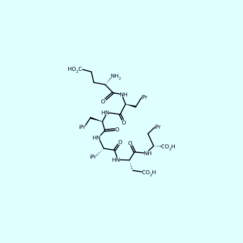 CC(C)C[C@H](NC(=O)[C@@H](N)CCC(=O)O)C(=O)N[C@H](CC(C)C)C(=O)N[C@H](C(=O)N[C@@H](CC(=O)O)C(=O)N[C@H](CC(C)C)C(=O)O)C(C)C